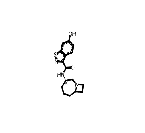 O=C(N[C@H]1CCCC2CCN2C1)c1nsc2cc(O)ccc12